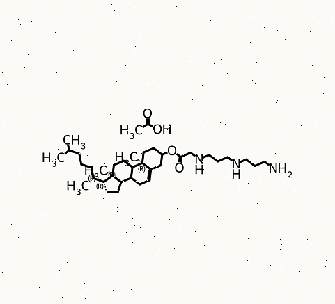 CC(=O)O.CC(C)CCC[C@@H](C)[C@H]1CCC2C3CC=C4CC(OC(=O)CNCCCNCCCN)CC[C@]4(C)C3CC[C@@]21C